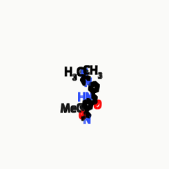 COc1cc2[nH]c(-c3cccc(N4CCC(N(C)C)C4)c3)cc(=O)c2cc1-c1cnco1